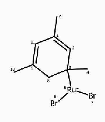 CC1=C[C](C)([Ru-]([Br])[Br])CC(C)=C1